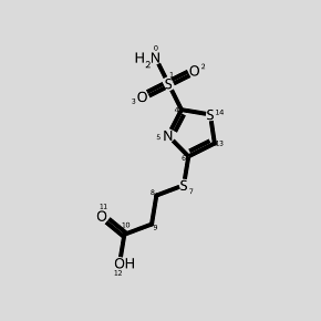 NS(=O)(=O)c1nc(SCCC(=O)O)cs1